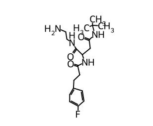 CC(C)(C)NC(=O)CC(NC(=O)CCc1ccc(F)cc1)C(=O)NCCN